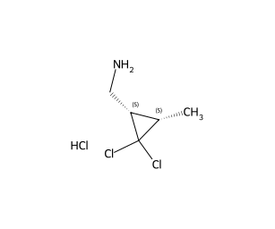 C[C@H]1[C@@H](CN)C1(Cl)Cl.Cl